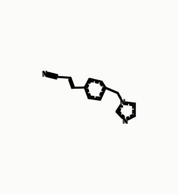 N#CC=Cc1ccc(Cn2ccnc2)cc1